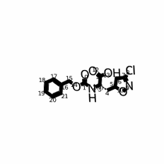 O=C(N[C@@H](CC1CC(Cl)=NO1)C(=O)O)OCc1ccccc1